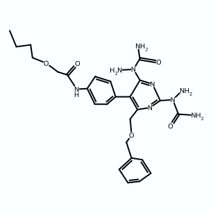 CCCCOCC(=O)Nc1ccc(-c2c(COCc3ccccc3)nc(N(N)C(N)=O)nc2N(N)C(N)=O)cc1